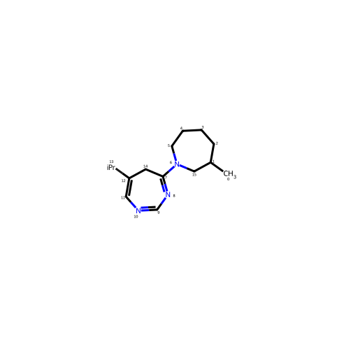 CC1CCCCN(C2=NC=NC=C(C(C)C)C2)C1